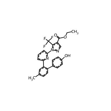 CCOC(=O)c1cnn(-c2cccc(-c3cc(C)ccc3-c3ccc(O)cc3)n2)c1C(F)(F)F